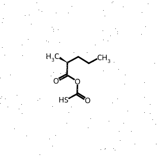 CCC[C@H](C)C(=O)OC(=O)S